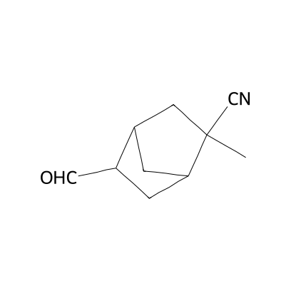 CC1(C#N)CC2CC1CC2C=O